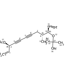 C=C[C@H](C#CC#CC[C@@H](C)[C@@H](CCCCCCC)OC(C)(C)O)OC(C)=O